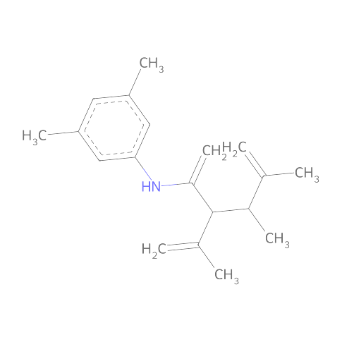 C=C(C)C(C)C(C(=C)C)C(=C)Nc1cc(C)cc(C)c1